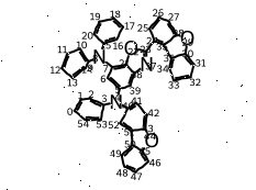 c1ccc(N(c2cc(N(c3ccccc3)c3ccccc3)c3oc(-c4cccc5oc6ccccc6c45)nc3c2)c2ccc3oc4ccccc4c3c2)cc1